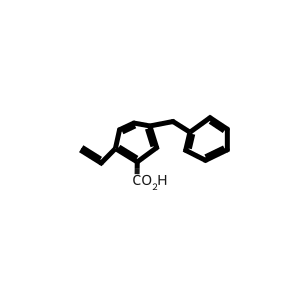 C=Cc1ccc(Cc2ccccc2)cc1C(=O)O